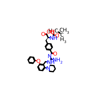 CC(C)(C)OC(=O)N[C@@H](Cc1ccc(C(=O)/N=C(\N)NCc2c(Oc3ccccc3)cccc2N2CCCCC2)cc1)C(=O)O